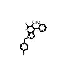 Cc1nc2c(ccn2Cc2ccc(F)cc2)c(-c2ccccc2)c1C=O